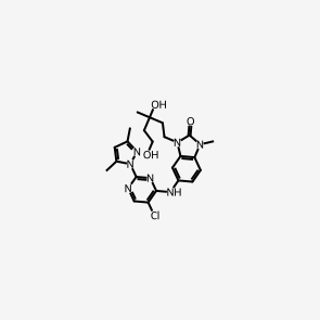 Cc1cc(C)n(-c2ncc(Cl)c(Nc3ccc4c(c3)n(CCC(C)(O)CCO)c(=O)n4C)n2)n1